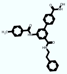 Cc1ccc(C(=O)Nc2cc(C(=O)NCCc3ccccc3)cc(-c3ccc(C(=O)NO)cc3)c2)cc1